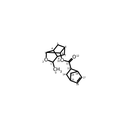 CC1OC2C3CC(CC13)C2OC(=O)C1CC2C=CC1C2